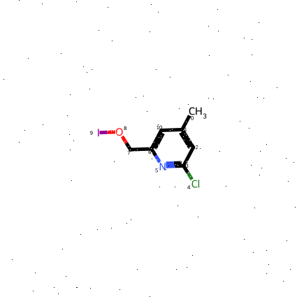 Cc1cc(Cl)nc(COI)c1